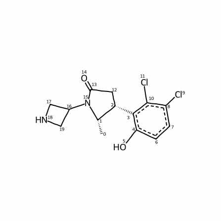 C[C@H]1[C@@H](c2c(O)ccc(Cl)c2Cl)CC(=O)N1C1CNC1